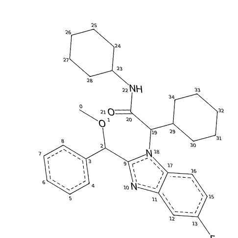 COC(c1ccccc1)c1nc2cc(F)ccc2n1C(C(=O)NC1CCCCC1)C1CCCCC1